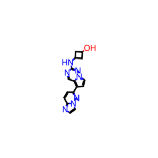 OC1CC(Nc2ncc3c(-c4ccc5nccn5n4)ccn3n2)C1